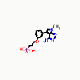 Cn1cc(-c2cccc(OCCCP(=O)(O)O)c2)c2c(N)ncnc21